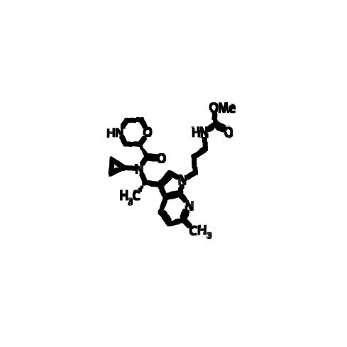 COC(=O)NCCCn1cc([C@H](C)N(C(=O)[C@H]2CNCCO2)C2CC2)c2ccc(C)nc21